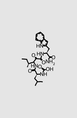 CC[C@H](C)C(NC(=O)[C@H](CC(C)C)NC(=O)O)C(=O)C(=O)N[C@@H](Cc1cc2ccccc2[nH]1)C(N)=O